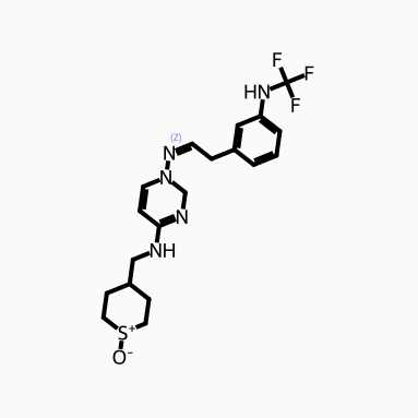 [O-][S+]1CCC(CNC2=NCN(/N=C\Cc3cccc(NC(F)(F)F)c3)C=C2)CC1